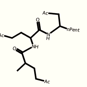 CCCCCC(CC(C)=O)NC(=O)C(CCC(C)=O)NC(=O)C(C)CCC(C)=O